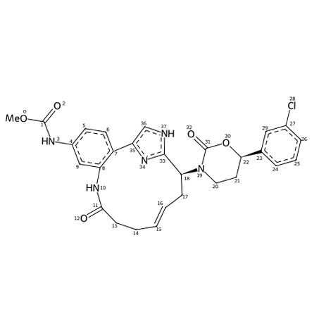 COC(=O)Nc1ccc2c(c1)NC(=O)CC/C=C/C[C@H](N1CC[C@H](c3cccc(Cl)c3)OC1=O)c1nc-2c[nH]1